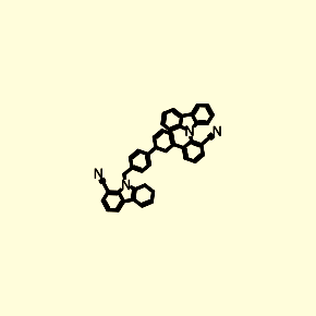 N#Cc1cccc(C2=CC=CC(c3ccc(Cn4c5c(c6cccc(C#N)c64)C=CCC5)cc3)C2)c1-n1c2ccccc2c2ccccc21